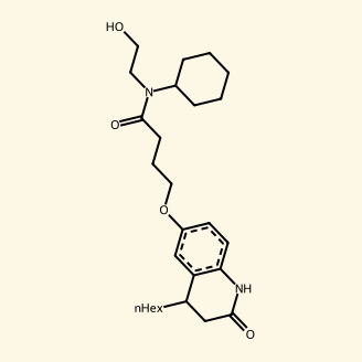 CCCCCCC1CC(=O)Nc2ccc(OCCCC(=O)N(CCO)C3CCCCC3)cc21